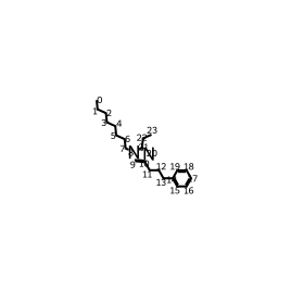 CCCCCCCCn1cc(CCCc2ccccc2)nc1CC